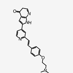 CN(C)CCOc1ccc(/C=C/c2cc(-c3cc4c([nH]3)N=CCC4=O)ccn2)cc1